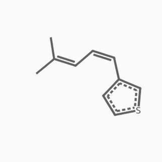 CC(C)=C/C=C\c1ccsc1